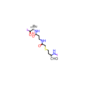 CC[C@H](C)[C@H](NC(O)CCNC(=O)CSCC[C@@H](C=O)NI)C(=O)I